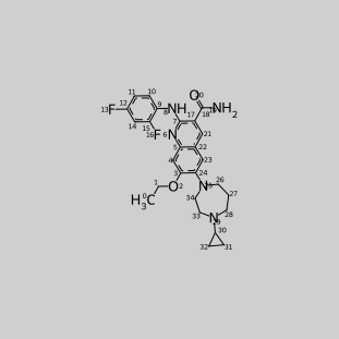 CCOc1cc2nc(Nc3ccc(F)cc3F)c(C(N)=O)cc2cc1N1CCCN(C2CC2)CC1